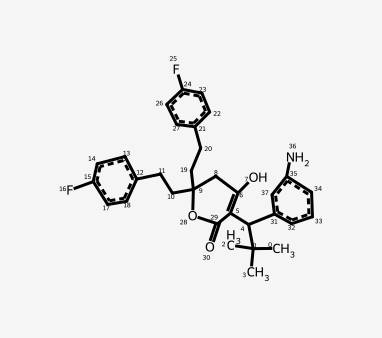 CC(C)(C)C(C1=C(O)CC(CCc2ccc(F)cc2)(CCc2ccc(F)cc2)OC1=O)c1cccc(N)c1